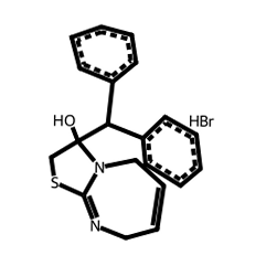 Br.OC1(C(c2ccccc2)c2ccccc2)CSC2=NCC=CCN21